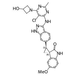 COc1ccc2c(c1)[C@]1(C[C@H]1c1ccc3c(Nc4nc(C)nc(N5CC(O)C5)c4Cl)n[nH]c3c1)C(=O)N2